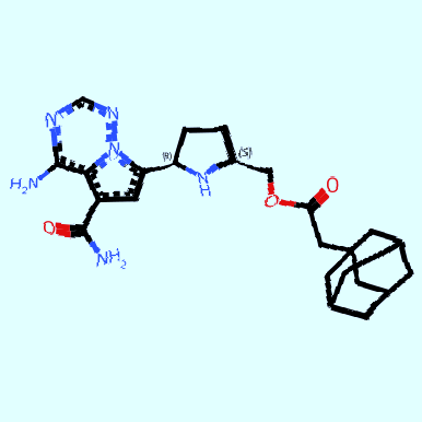 NC(=O)c1cc([C@H]2CC[C@@H](COC(=O)CC34CC5CC(CC(C5)C3)C4)N2)n2ncnc(N)c12